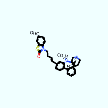 O=Cc1ccc2c(c1)sc(=O)n2CC/C=C/c1ccc(-c2ccccc2)c(N(C(=O)O)[C@H]2CN3CCC2CC3)c1